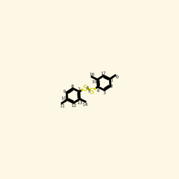 Cc1ccc(SSc2ccc(C)cc2C)c(C)c1